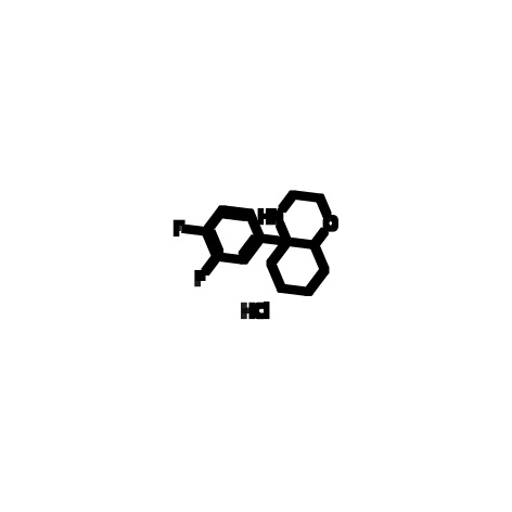 Cl.Fc1ccc(C23CCCCC2OCCN3)cc1F